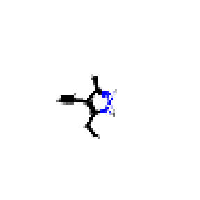 C#CC1=C(CC)[N]N=C1C